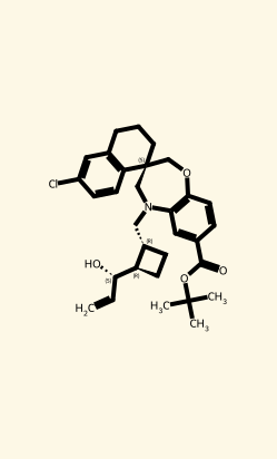 C=C[C@H](O)[C@@H]1CC[C@H]1CN1C[C@@]2(CCCc3cc(Cl)ccc32)COc2ccc(C(=O)OC(C)(C)C)cc21